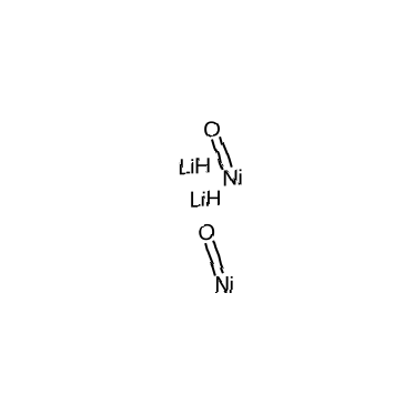 [LiH].[LiH].[O]=[Ni].[O]=[Ni]